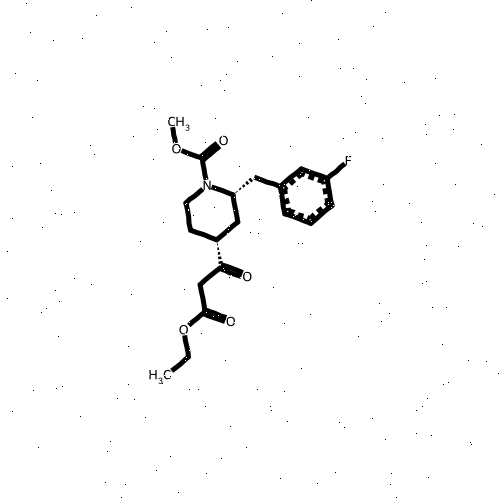 CCOC(=O)CC(=O)[C@@H]1CCN(C(=O)OC)[C@H](Cc2cccc(F)c2)C1